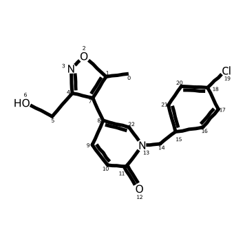 Cc1onc(CO)c1-c1ccc(=O)n(Cc2ccc(Cl)cc2)c1